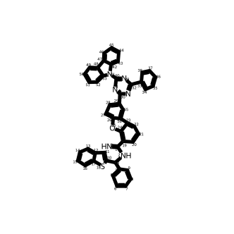 N=C(NC(c1ccccc1)c1cc2ccccc2s1)c1cccc2c1oc1ccc(-c3nc(-c4ccccc4)nc(-n4c5ccccc5c5ccccc54)n3)cc12